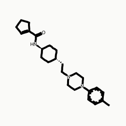 Cc1ccc(N2CCN(CC[C@H]3CC[C@H](NC(=O)C4=CCCC4)CC3)CC2)cc1